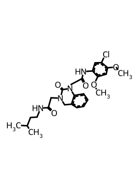 COc1cc(OC)c(NC(=O)CN2C(=O)N(CC(=O)NCCC(C)C)Cc3ccccc32)cc1Cl